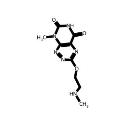 CNCCOc1nnc2c(n1)c(=O)[nH]c(=O)n2C